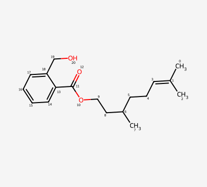 CC(C)=CCCC(C)CCOC(=O)c1ccccc1CO